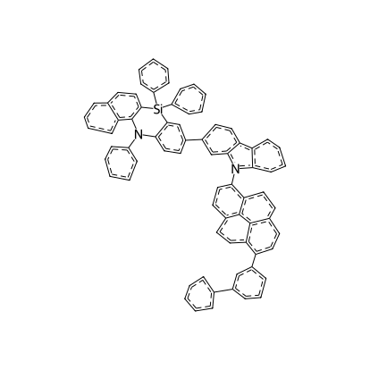 c1ccc(-c2cccc(-c3ccc4ccc5c(-n6c7ccccc7c7ccc(-c8ccc9c(c8)[Si](c8ccccc8)(c8ccccc8)c8ccc%10ccccc%10c8N9c8ccccc8)cc76)ccc6ccc3c4c65)c2)cc1